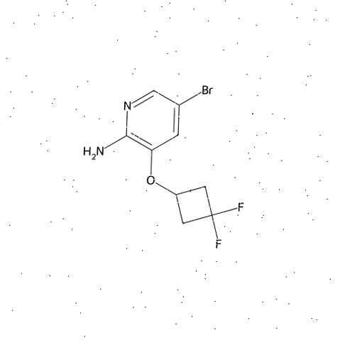 Nc1ncc(Br)cc1OC1CC(F)(F)C1